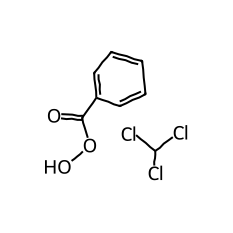 ClC(Cl)Cl.O=C(OO)c1ccccc1